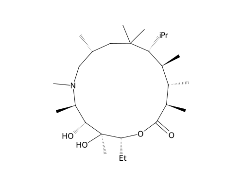 CC[C@H]1OC(=O)[C@H](C)[C@@H](C)[C@H](C)[C@@H](C(C)C)C(C)(C)C[C@@H](C)CN(C)[C@H](C)[C@@H](O)[C@]1(C)O